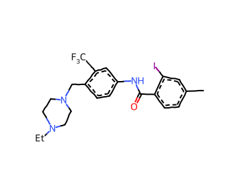 CCN1CCN(Cc2ccc(NC(=O)c3ccc(C)cc3I)cc2C(F)(F)F)CC1